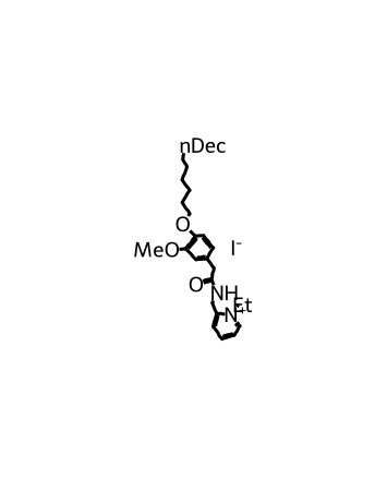 CCCCCCCCCCCCCCCCOc1ccc(CC(=O)NCc2cccc[n+]2CC)cc1OC.[I-]